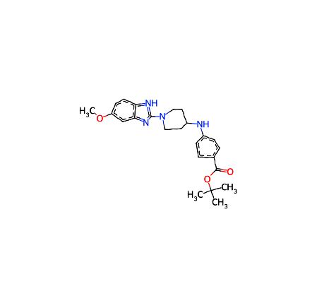 COc1ccc2[nH]c(N3CCC(Nc4ccc(C(=O)OC(C)(C)C)cc4)CC3)nc2c1